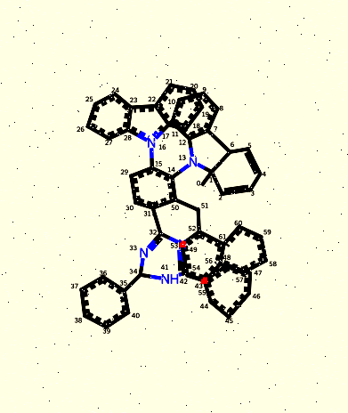 CC12C=CC=CC1c1ccccc1N2c1c(-n2c3ccccc3c3ccccc32)ccc(C2=NC(c3ccccc3)NC(c3ccccc3)=N2)c1Cc1cccc2ccccc12